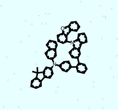 CC1(C)c2ccccc2-c2ccc(N(c3ccc(-c4ccccc4-c4ccc5c(c4)c4ccccc4n5-c4cccc5oc6ccccc6c45)cc3)c3ccc4ccccc4c3)cc21